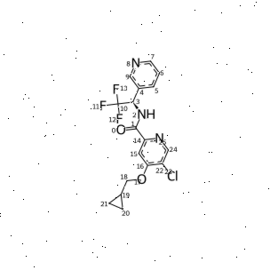 O=C(N[C@H](c1cccnc1)C(F)(F)F)c1cc(OCC2CC2)c(Cl)cn1